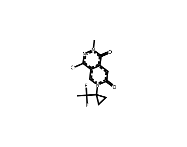 Cn1nc(Cl)c2cn(C3(C(C)(F)F)CC3)c(=O)cc2c1=O